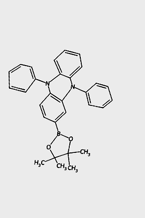 CC1(C)OB(c2ccc3c(c2)N(c2ccccc2)c2ccccc2N3c2ccccc2)OC1(C)C